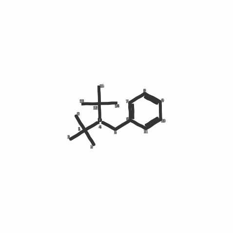 CC(C)(C)P(Cc1ccccc1)C(C)(C)C